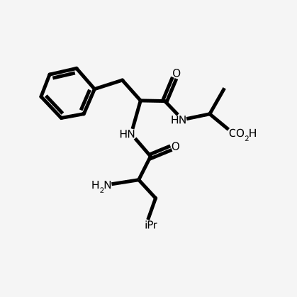 CC(C)CC(N)C(=O)NC(Cc1ccccc1)C(=O)NC(C)C(=O)O